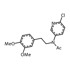 COc1ccc(CCN(C(C)=O)c2ccc(Cl)nc2)cc1OC